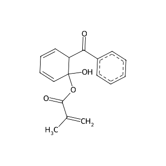 C=C(C)C(=O)OC1(O)C=CC=CC1C(=O)c1ccccc1